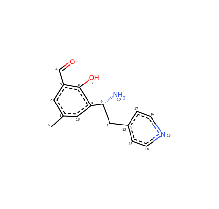 Cc1cc(C=O)c(O)c([C@H](N)Cc2ccncc2)c1